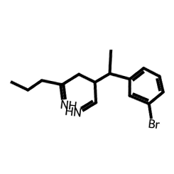 CCCC(=N)CC(C=N)C(C)c1cccc(Br)c1